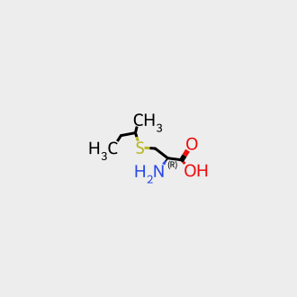 CCC(C)SC[C@H](N)C(=O)O